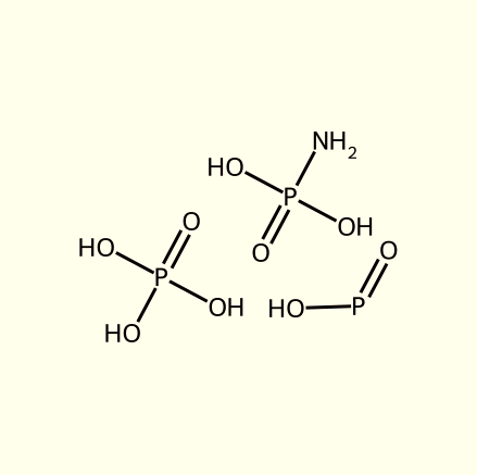 NP(=O)(O)O.O=P(O)(O)O.O=PO